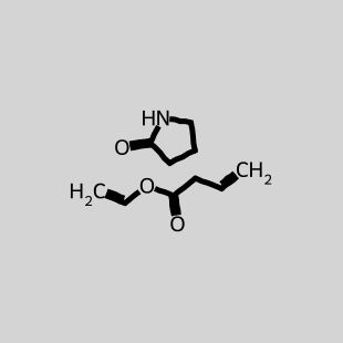 C=CCC(=O)OC=C.O=C1CCCN1